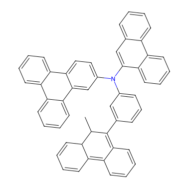 CC1C(c2cccc(N(c3ccc4c5ccccc5c5ccccc5c4c3)c3cc4ccccc4c4ccccc34)c2)=c2ccccc2=C2C=CC=CC21